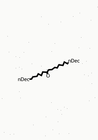 CCCCCCCCCCCCCCCCC[CH]C(=O)CCCCCCCCCCCCCCCC